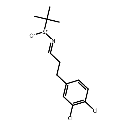 CC(C)(C)[S+]([O-])N=CCCc1ccc(Cl)c(Cl)c1